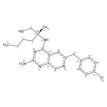 CCCC[C@](C)(CO)Nc1nc(N)nc2cnc(Cc3ccc(Cl)cc3)cc12